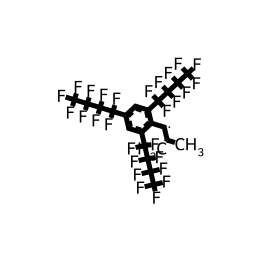 CC(C)[CH]c1c(C(F)(F)C(F)(F)C(F)(F)C(F)(F)F)cc(C(F)(F)C(F)(F)C(F)(F)C(F)(F)F)cc1C(F)(F)C(F)(F)C(F)(F)C(F)(F)F